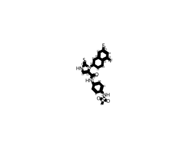 CS(=O)(=O)Nc1ccc(NC(=O)c2c[nH]c(=S)n2C2CCc3c(F)cc(F)cc3C2)cc1